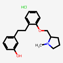 CN1CCCC1COc1ccccc1CCc1cccc(O)c1.Cl